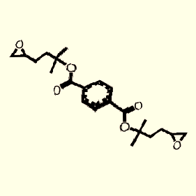 CC(C)(CCC1CO1)OC(=O)c1ccc(C(=O)OC(C)(C)CCC2CO2)cc1